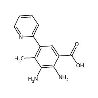 Cc1c(-c2ccccn2)cc(C(=O)O)c(N)c1N